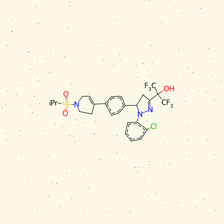 CC(C)S(=O)(=O)N1CC=C(c2ccc(C3CC(C(O)(C(F)(F)F)C(F)(F)F)=NN3c3ccccc3Cl)cc2)CC1